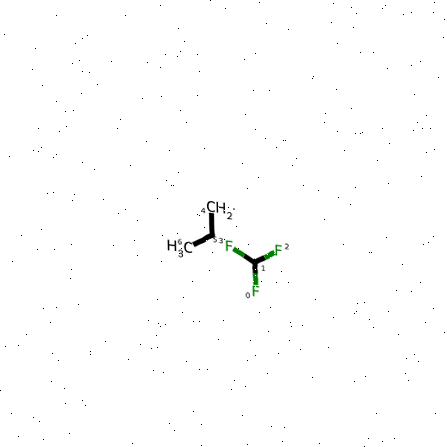 F[C](F)F.[CH2]CC